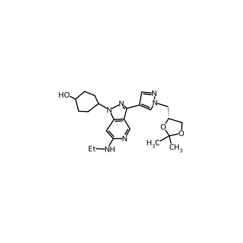 CCNc1cc2c(cn1)c(-c1cnn(C[C@@H]3COC(C)(C)O3)c1)nn2C1CCC(O)CC1